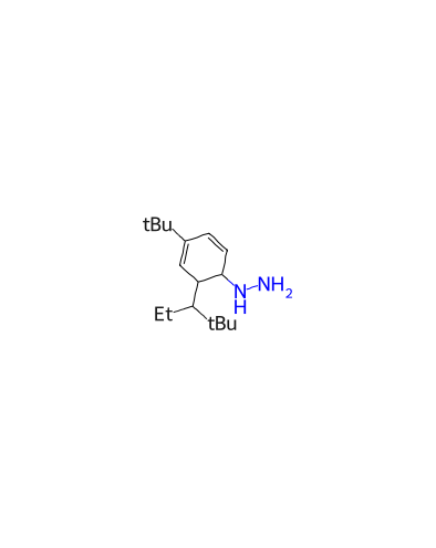 CCC(C1C=C(C(C)(C)C)C=CC1NN)C(C)(C)C